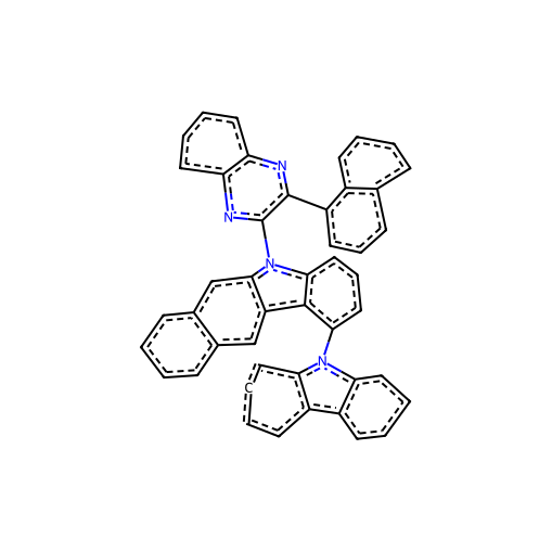 c1ccc2cc3c(cc2c1)c1c(-n2c4ccccc4c4ccccc42)cccc1n3-c1nc2ccccc2nc1-c1cccc2ccccc12